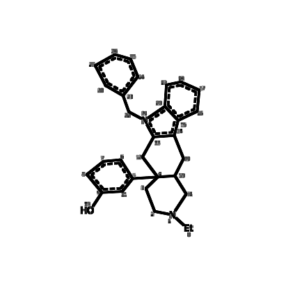 CCN1CCC2(c3cccc(O)c3)Cc3c(c4ccccc4n3Cc3ccccc3)CC2C1